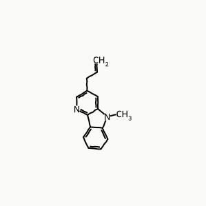 C=CCc1cnc2c3ccccc3n(C)c2c1